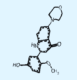 COc1ccc(O)cc1-c1cc(=O)c2cc(N3CCOCC3)ccc2[nH]1